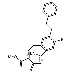 C=C1/C=C(\N)c2cc(CC)c(CCc3ccccc3)cc2C/C=C\1C(=C)OC